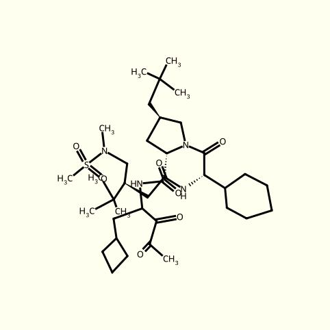 CC(=O)C(=O)C(CC1CCC1)NC(=O)[C@@H]1C[C@@H](CC(C)(C)C)CN1C(=O)[C@@H](NC(=O)C[C@H](CN(C)S(C)(=O)=O)C(C)(C)C)C1CCCCC1